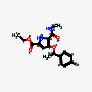 CCOC(=O)c1cc(OC(C)c2ccc(I)cc2)c(C(=O)NC)[nH]1